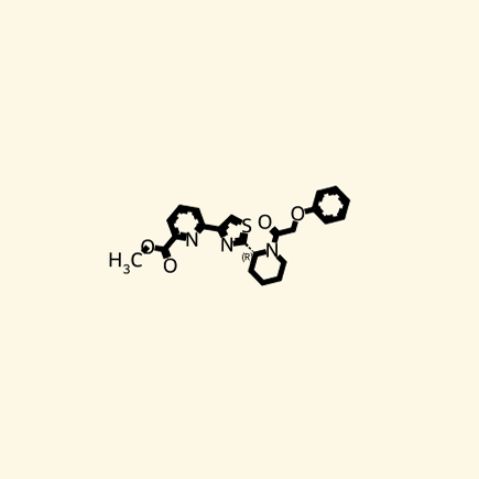 COC(=O)c1cccc(-c2csc([C@H]3CCCCN3C(=O)COc3ccccc3)n2)n1